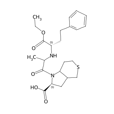 CCOC(=O)[C@H](CCc1ccccc1)NC(C)C(=O)N1C2CCSCC2C[C@H]1C(=O)O